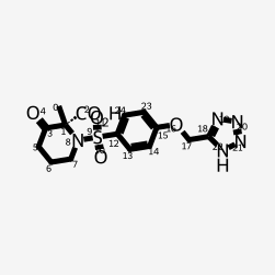 C[C@]1(C(=O)O)C(=O)CCCN1S(=O)(=O)c1ccc(OCc2nnn[nH]2)cc1